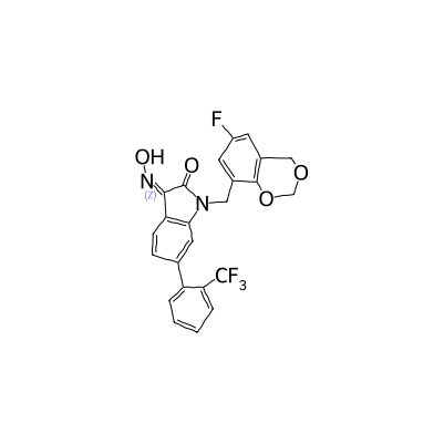 O=C1/C(=N\O)c2ccc(-c3ccccc3C(F)(F)F)cc2N1Cc1cc(F)cc2c1OCOC2